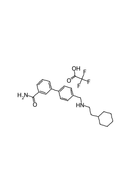 NC(=O)c1cccc(-c2ccc(CNCCC3CCCCC3)cc2)c1.O=C(O)C(F)(F)F